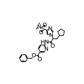 CN(C)S(=O)(=O)c1cn(C(CC2CCCC2)C(=O)Nc2ccc(C(=O)OCc3ccccc3)cn2)cn1